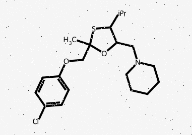 CC(C)C1SC(C)(COc2ccc(Cl)cc2)OC1CN1CCCCC1